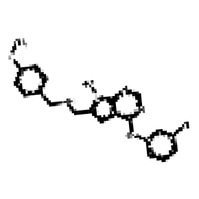 COc1ccc(CNCc2cc3c(Nc4cccc(Cl)c4)ncnc3n2O)cc1